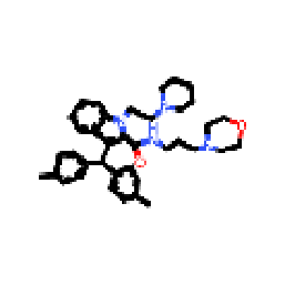 Cc1ccc(C(c2ccc(C)cc2)c2c(C(=O)NCCCN3CCOCC3)n(CCN3CCCCC3)c3ccccc23)cc1